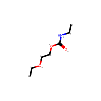 CCNC(=O)OCCOCC